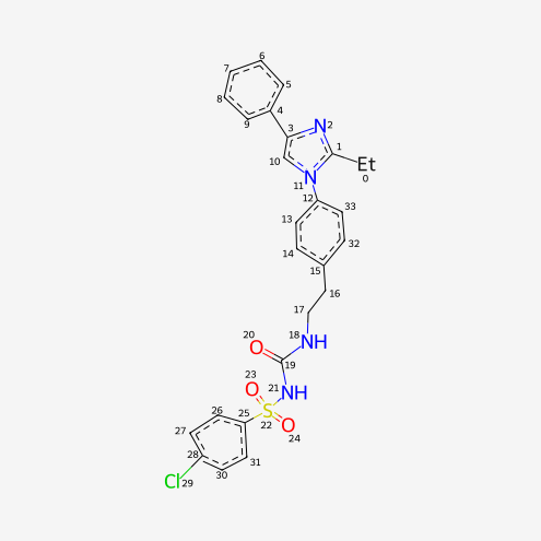 CCc1nc(-c2ccccc2)cn1-c1ccc(CCNC(=O)NS(=O)(=O)c2ccc(Cl)cc2)cc1